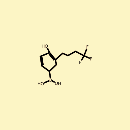 OB(O)C1C=CC(O)=C(CCCC(F)(F)F)C1